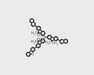 CC1(C)c2cc(-c3ccc4ccccc4c3)ccc2-c2ccc(N(c3ccc4c(c3)C(C)(C)c3cc(-c5ccc6ccccc6c5)ccc3-4)c3ccc4c(c3)C(C)(C)c3cc(-c5ccc6c(c5)oc5ccccc56)ccc3-4)cc21